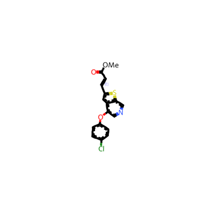 COC(=O)/C=C/c1cc2c(Oc3ccc(Cl)cc3)cncc2s1